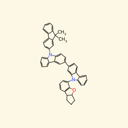 CC1(C)c2ccccc2-c2ccc(-n3c4ccccc4c4cc(-c5ccc6c7ccccc7n(-c7cccc8c7OC7CCCC87)c6c5)ccc43)cc21